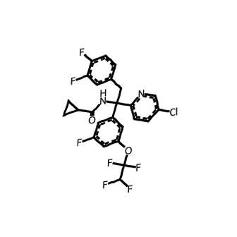 O=C(NC(Cc1ccc(F)c(F)c1)(c1cc(F)cc(OC(F)(F)C(F)F)c1)c1ccc(Cl)cn1)C1CC1